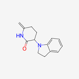 C=C1CCC(N2CCc3ccccc32)C(=O)N1